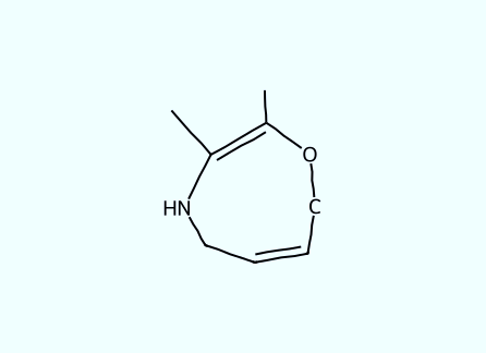 C/C1=C(\C)OC/C=C\CN1